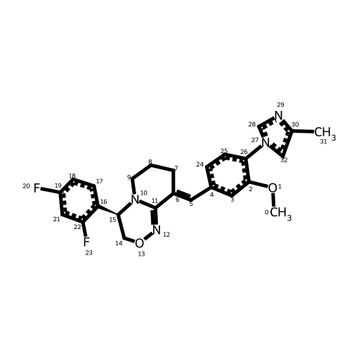 COc1cc(/C=C2\CCCN3C2=NOC[C@H]3c2ccc(F)cc2F)ccc1-n1cnc(C)c1